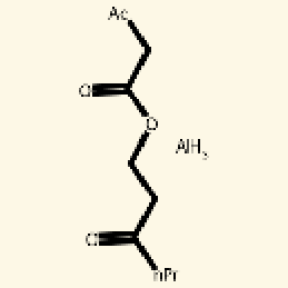 CCCC(=O)CCOC(=O)CC(C)=O.[AlH3]